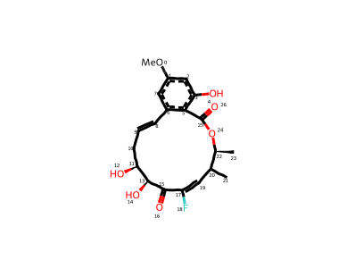 COc1cc(O)c2c(c1)/C=C/C[C@H](O)[C@H](O)C(=O)/C(F)=C\C(C)[C@H](C)OC2=O